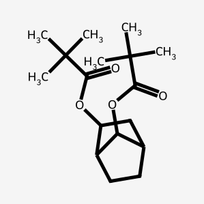 CC(C)(C)C(=O)OC1CC2CCC1C2OC(=O)C(C)(C)C